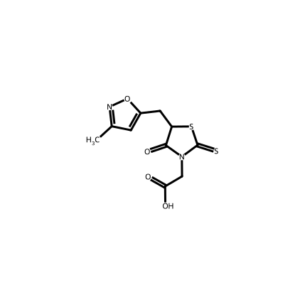 Cc1cc(CC2SC(=S)N(CC(=O)O)C2=O)on1